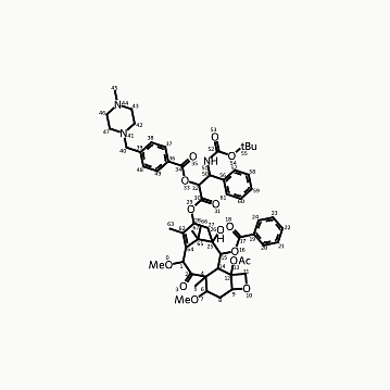 COC1C(=O)C2(C)C(OC)CC3OCC3(OC(C)=O)C2C(OC(=O)c2ccccc2)C2(O)CC(OC(=O)C(OC(=O)c3ccc(CN4CCN(C)CC4)cc3)C(NC(=O)OC(C)(C)C)c3ccccc3)C(C)=C1C2(C)C